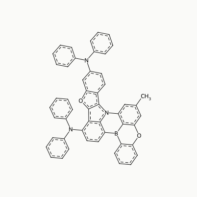 Cc1cc2c3c(c1)-n1c4c(ccc(N(c5ccccc5)c5ccccc5)c4c4oc5cc(N(c6ccccc6)c6ccccc6)ccc5c41)B3c1ccccc1O2